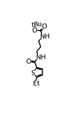 CCc1ccc(C(=O)NCCCNC(=O)OC(C)(C)C)s1